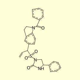 C=CC(c1ccc2c(c1)CCN2C(=O)c1ccccc1)S(=O)(=O)N1CC(c2ccccc2)NC1=O